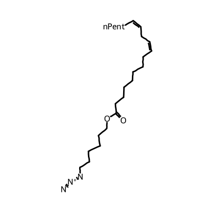 CCCCC/C=C\C/C=C\CCCCCCCC(=O)OCCCCCCN=[N+]=[N-]